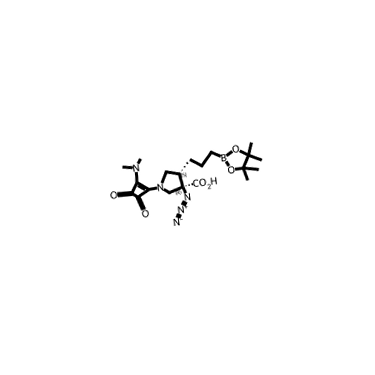 CN(C)c1c(N2C[C@H](CCCB3OC(C)(C)C(C)(C)O3)[C@](N=[N+]=[N-])(C(=O)O)C2)c(=O)c1=O